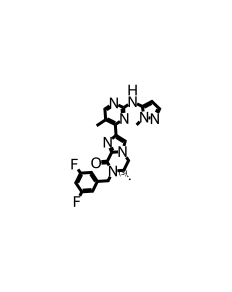 Cc1cnc(Nc2ccnn2C)nc1-c1cn2c(n1)C(=O)N(Cc1cc(F)cc(F)c1)[C@@H](C)C2